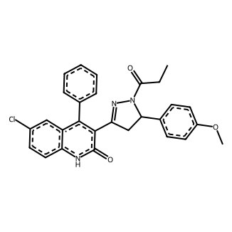 CCC(=O)N1N=C(c2c(-c3ccccc3)c3cc(Cl)ccc3[nH]c2=O)CC1c1ccc(OC)cc1